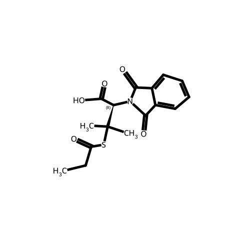 CCC(=O)SC(C)(C)[C@@H](C(=O)O)N1C(=O)c2ccccc2C1=O